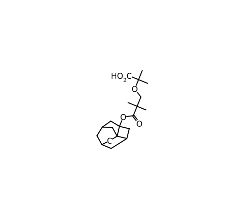 CC(C)(COC(C)(C)C(=O)O)C(=O)OC12CC3CC4CC(C1)C2(C4)C3